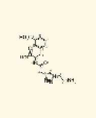 NCCn1cc(CC(=O)NC2Cc3cccc(C(=O)O)c3OB2O)nn1